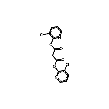 O=C(CC(=O)Oc1ncccc1Cl)Oc1ncccc1Cl